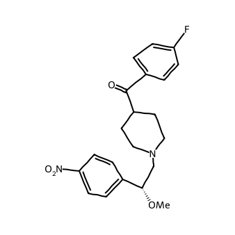 CO[C@@H](CN1CCC(C(=O)c2ccc(F)cc2)CC1)c1ccc([N+](=O)[O-])cc1